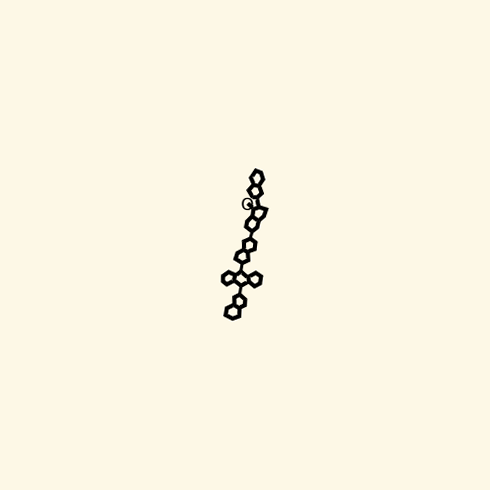 c1ccc2cc(-c3c4ccccc4c(-c4ccc5cc(-c6ccc7c(ccc8c9cc%10ccccc%10cc9oc78)c6)ccc5c4)c4ccccc34)ccc2c1